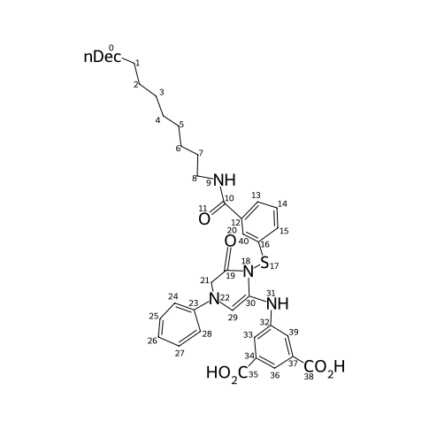 CCCCCCCCCCCCCCCCCCNC(=O)c1cccc(SN2C(=O)CN(c3ccccc3)C=C2Nc2cc(C(=O)O)cc(C(=O)O)c2)c1